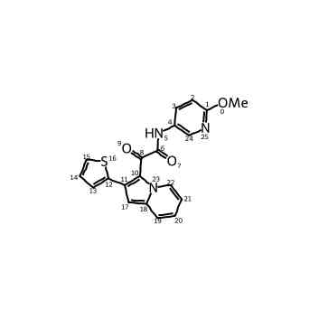 COc1ccc(NC(=O)C(=O)c2c(-c3cccs3)cc3ccccn23)cn1